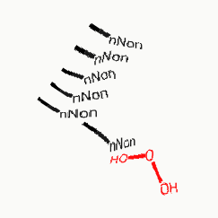 CCCCCCCCCC.CCCCCCCCCC.CCCCCCCCCC.CCCCCCCCCC.CCCCCCCCCC.CCCCCCCCCC.OOO